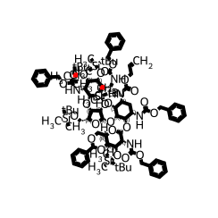 C=CCOC(=O)N[C@@H]1C[C@H](NC(=O)OCc2ccccc2)[C@@H](O[C@H]2O[C@@H]3COC(c4ccccc4)O[C@H]3[C@H](O[Si](C)(C)C(C)(C)C)[C@H]2NC(=O)OCc2ccccc2)[C@H](O[C@@H]2O[C@H](CO[Si](C)(C)C(C)(C)C)[C@@H](O[C@H]3O[C@@H](CNC(=O)OCc4ccccc4)[C@@H](O[Si](C)(C)C(C)(C)C)[C@H](O[Si](C)(C)C(C)(C)C)[C@H]3NC(=O)OCc3ccccc3)[C@H]2O[Si](C)(C)C(C)(C)C)[C@H]1O